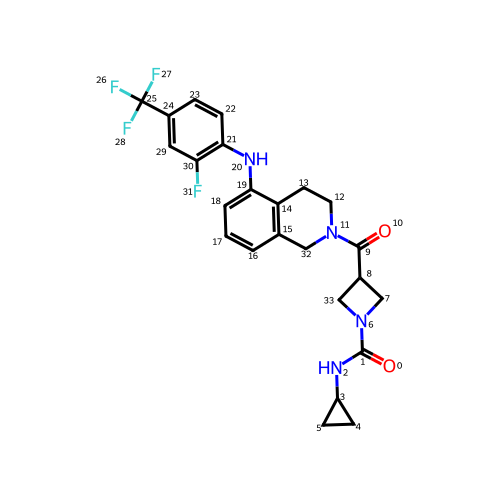 O=C(NC1CC1)N1CC(C(=O)N2CCc3c(cccc3Nc3ccc(C(F)(F)F)cc3F)C2)C1